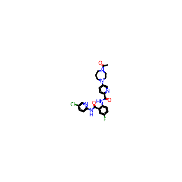 CC(=O)N1CCCN(c2ccc(C(=O)Nc3ccc(F)cc3C(=O)Nc3ccc(Cl)cn3)nc2)CC1